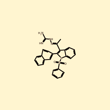 CC(=NNC(=N)N)c1c(-c2ccc3ccccc3c2)n(S(=O)(=O)c2ccccc2)c2ccccc12